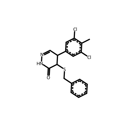 Cc1c(Cl)cc(C2C=NNC(=O)C2SCc2ccccc2)cc1Cl